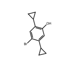 Oc1cc(C2CC2)c(Br)cc1C1CC1